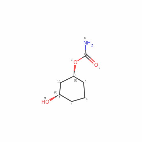 NC(=O)O[C@H]1CCC[C@@H](O)C1